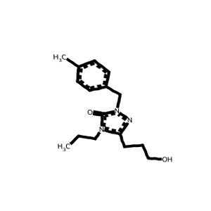 CCCn1c(CCCO)nn(Cc2ccc(C)cc2)c1=O